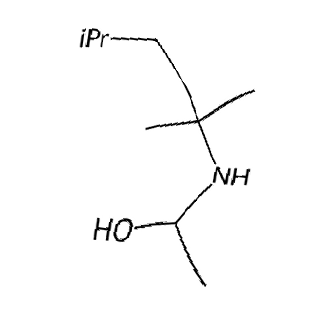 CC(C)CC(C)(C)NC(C)O